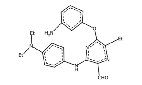 CCc1nc(C=O)c(Nc2ccc(N(CC)CC)cc2)nc1Oc1cccc(N)c1